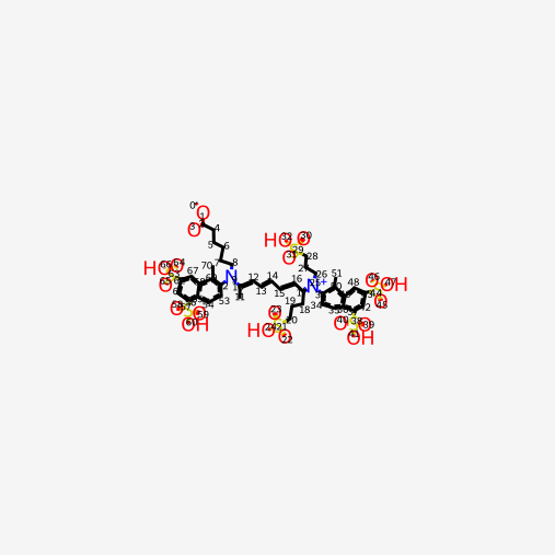 COC(=O)CCCCCN(/C(C)=C/C=C/C=C/C(CCCS(=O)(=O)O)=[N+](\CCCS(=O)(=O)O)c1ccc2c(S(=O)(=O)O)cc(S(=O)(=O)O)cc2c1C)c1ccc2c(S(=O)(=O)O)cc(S(=O)(=O)O)cc2c1C